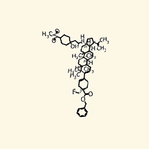 C=C(C)[C@@H]1CC[C@]2(NCCC3(O)CCC(S(C)(=O)=O)CC3)CC[C@]3(C)[C@H](CC[C@@H]4[C@@]5(C)CC=C(C6=CC[C@](CF)(C(=O)OCc7ccccc7)CC6)C(C)(C)[C@@H]5CC[C@]43C)[C@@H]12